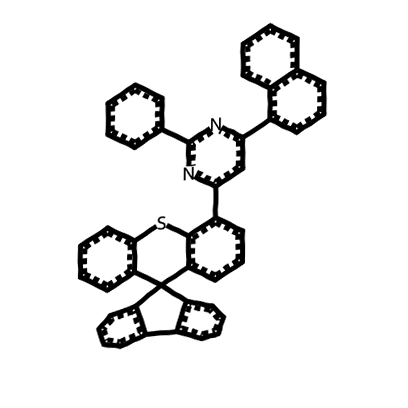 c1ccc(-c2nc(-c3cccc4c3Sc3ccccc3C43c4ccccc4-c4ccccc43)cc(-c3cccc4ccccc34)n2)cc1